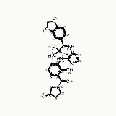 CC(C)(C)C(Nc1nsnc1Nc1cccc(C(=O)N2CCC(O)C2)c1O)c1ccc2c(c1)OCO2